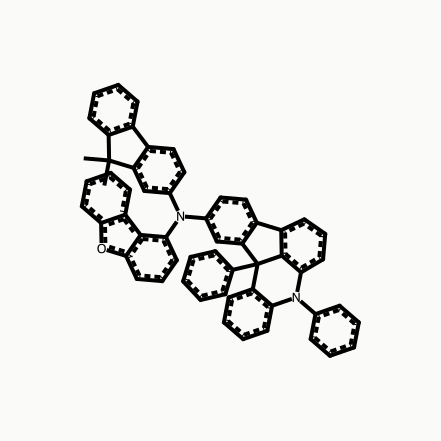 CC1(C)c2ccccc2-c2ccc(N(c3ccc4c(c3)C3(c5ccccc5)c5ccccc5N(c5ccccc5)c5cccc-4c53)c3cccc4oc5ccccc5c34)cc21